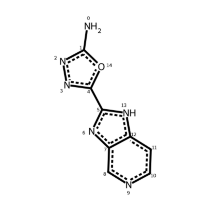 Nc1nnc(-c2nc3cnccc3[nH]2)o1